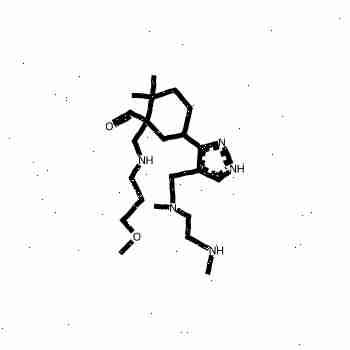 CNCCN(C)Cc1c[nH]nc1C1CCC(C)(C)C(C=O)(CNCCCOC)C1